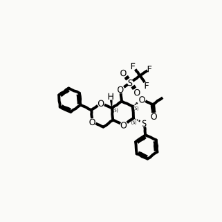 CC(=O)O[C@H]1C(OS(=O)(=O)C(F)(F)F)[C@H]2OC(c3ccccc3)OCC2O[C@H]1Sc1ccccc1